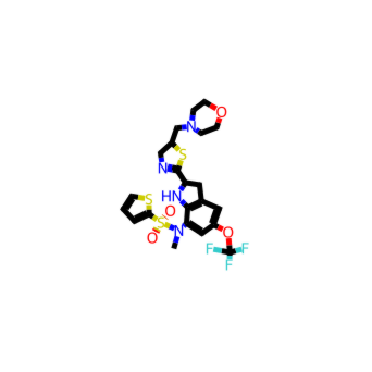 CN(c1cc(OC(F)(F)F)cc2c1NC(C1=NCC(CN3CCOCC3)S1)C2)S(=O)(=O)c1cccs1